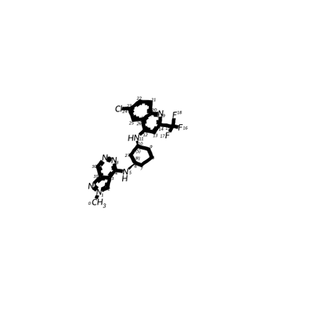 Cn1cc2c(N[C@@H]3CCC[C@H](Nc4cc(C(F)(F)F)nc5ccc(Cl)cc45)C3)nncc2n1